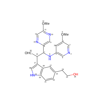 COc1cncc(NC(c2cnc(OC)cn2)C(C=O)c2c[nH]c3ccc(CCO)cc23)c1